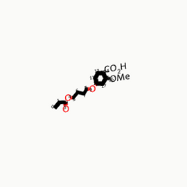 C=CC(=O)OCCCCOc1ccc(C(=O)O)c(OC)c1